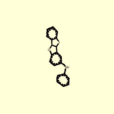 c1ccc(Nc2ccc3c(c2)C2Sc4ccccc4C2O3)cc1